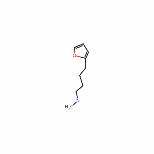 C[N]CCCCc1ccco1